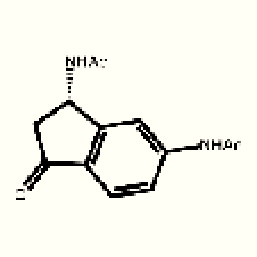 CC(=O)Nc1ccc2c(c1)[C@@H](NC(C)=O)CC2=O